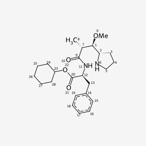 CO[C@@H]([C@@H]1CCCN1)[C@@H](C)C(=O)N[C@@H](Cc1ccccc1)C(=O)OC1CCCCC1